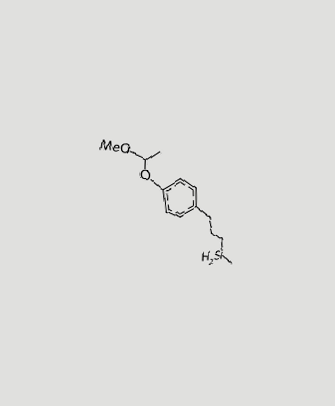 COC(C)Oc1ccc(CCC[SiH2]C)cc1